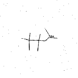 C[SiH](C)CC(C)(C)C(C)(C)C